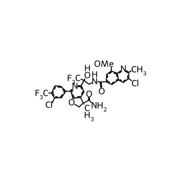 COc1cc(C(=O)NCC(O)(c2cc3c(c(-c4ccc(C(F)(F)F)c(Cl)c4)n2)OC[C@]3(C)C(N)=O)C(F)(F)F)cc2cc(Cl)c(C)nc12